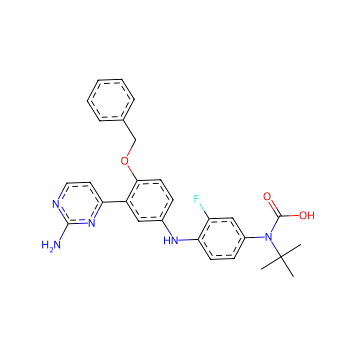 CC(C)(C)N(C(=O)O)c1ccc(Nc2ccc(OCc3ccccc3)c(-c3ccnc(N)n3)c2)c(F)c1